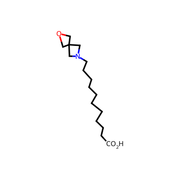 O=C(O)CCCCCCCCCCN1CC2(COC2)C1